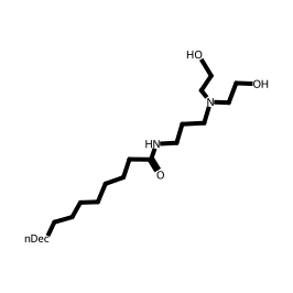 CCCCCCCCCCCCCCCCCC(=O)NCCCN(CCO)CCO